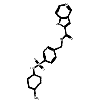 NC1CCC(NS(=O)(=O)c2ccc(CNC(=O)c3cc4cnccc4[nH]3)cc2)CC1